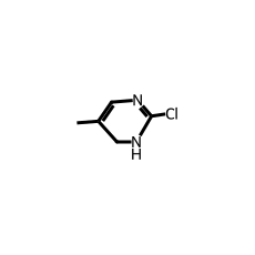 CC1=CN=C(Cl)NC1